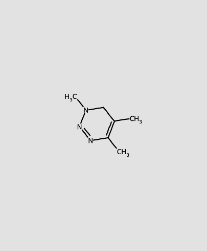 CC1=C(C)N=NN(C)C1